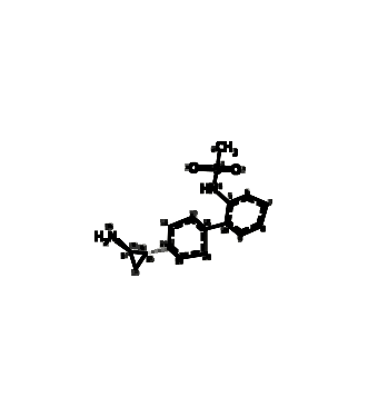 CS(=O)(=O)Nc1ccccc1-c1ccc([C@@H]2C[C@H]2N)cc1